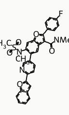 CNC(=O)c1c(-c2ccc(F)cc2)oc2cc(N(C)S(C)(=O)=O)c(-c3ccc(-c4cc5ccccc5o4)nc3)cc12